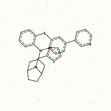 c1cncc(-c2ccc3c(c2)Sc2ccccc2N3C2CC3CCC(C2)N3Cc2cccs2)c1